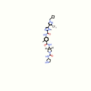 Cc1cc(NC(=O)c2ncc(-c3cn(CC4CCC4)nc3C(F)(F)F)n2C)ccc1C(=O)N[C@H]1[C@@H]2CN(C(=O)N[C@H]3CCNC3)C[C@@H]21